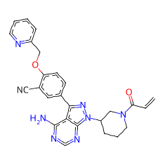 C=CC(=O)N1CCCC(n2nc(-c3ccc(OCc4ccccn4)c(C#N)c3)c3c(N)ncnc32)C1